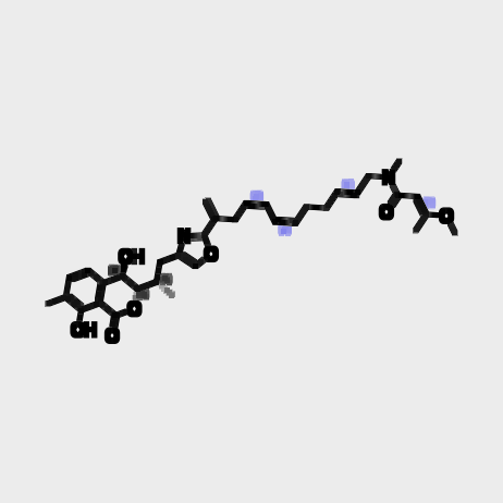 C=C(C/C=C\C=C/CC/C=C/CN(C)C(=O)/C=C(\C)OC)c1nc(C[C@H](C)[C@@H]2OC(=O)c3c(ccc(C)c3O)[C@H]2O)co1